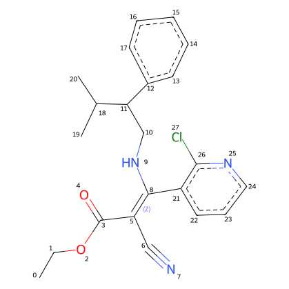 CCOC(=O)/C(C#N)=C(\NCC(c1ccccc1)C(C)C)c1cccnc1Cl